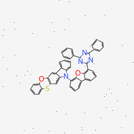 c1ccc(-c2nc(-c3ccccc3)nc(-c3cccc4c3oc3c(-n5c6ccccc6c6cc7c(cc65)Sc5ccccc5O7)cccc34)n2)cc1